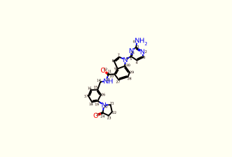 Nc1nccc(-n2ccc3c(C(=O)NCc4cccc(N5CCCC5=O)c4)cccc32)n1